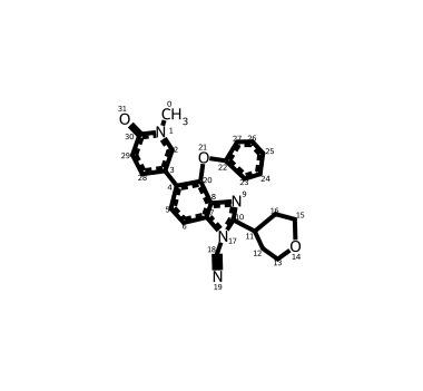 Cn1cc(-c2ccc3c(nc(C4CCOCC4)n3C#N)c2Oc2ccccc2)ccc1=O